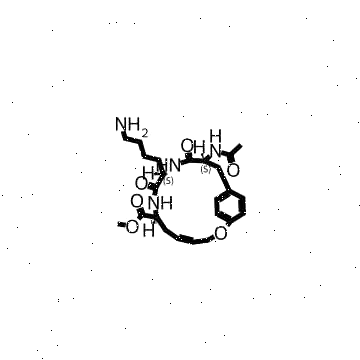 COC(=O)[C@@H]1CC=CCOc2ccc(cc2)C[C@H](NC(C)=O)C(=O)N[C@@H](CCCCN)C(=O)N1